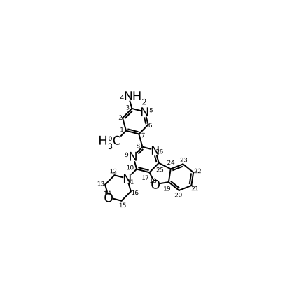 Cc1cc(N)ncc1-c1nc(N2CCOCC2)c2oc3ccccc3c2n1